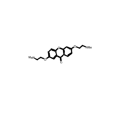 CNCCOc1ccc2c(=O)c3cc(OCCNC)ccc3sc2c1